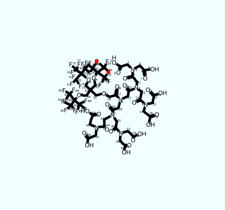 O=C(O)CN(CC(=O)O)C(=O)CN(CC(=O)N(CC(=O)O)CC(=O)O)C(=O)CN(CC(=O)N(CC(=O)N(CC(=O)O)CC(=O)O)CC(=O)N(CC(=O)O)CC(=O)O)C(=O)COCC(COC(C(F)(F)F)(C(F)(F)F)C(F)(F)F)(COC(C(F)(F)F)(C(F)(F)F)C(F)(F)F)COC(C(F)(F)F)(C(F)(F)F)C(F)(F)F